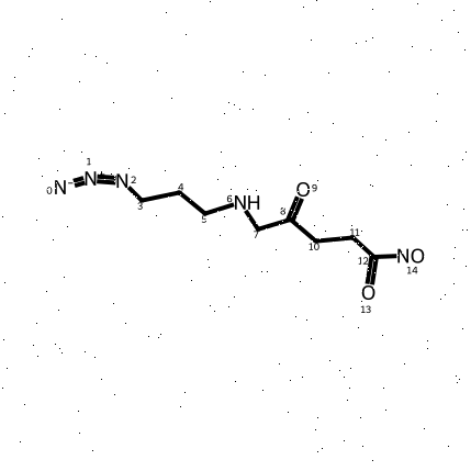 [N-]=[N+]=NCCCNCC(=O)CCC(=O)N=O